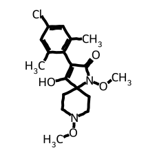 CON1CCC2(CC1)C(O)=C(c1c(C)cc(Cl)cc1C)C(=O)N2OC